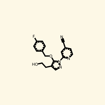 N#Cc1ccnc(-n2ncc(CCO)c2OCc2ccc(F)cc2)c1